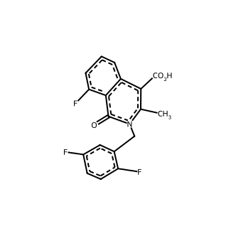 Cc1c(C(=O)O)c2cccc(F)c2c(=O)n1Cc1cc(F)ccc1F